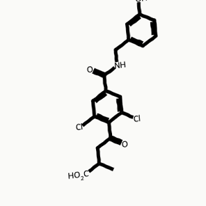 CC(CC(=O)c1c(Cl)cc(C(=O)NCc2cccc(O)c2)cc1Cl)C(=O)O